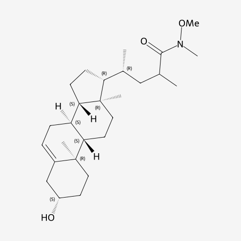 CON(C)C(=O)C(C)C[C@@H](C)[C@H]1CC[C@H]2[C@@H]3CC=C4C[C@@H](O)CC[C@]4(C)[C@H]3CC[C@]12C